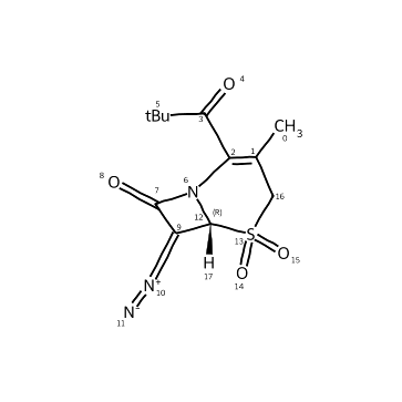 CC1=C(C(=O)C(C)(C)C)N2C(=O)C(=[N+]=[N-])[C@H]2S(=O)(=O)C1